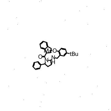 COc1ccc(C(C)(C)C)cc1CNC1CCC(c2ccccc2)N1C(=O)C1CCc2ccccc21